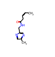 C/C=C\CC(=O)NCc1cnc(C)cn1